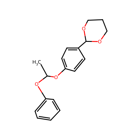 CC(Oc1ccccc1)Oc1ccc(C2OCCCO2)cc1